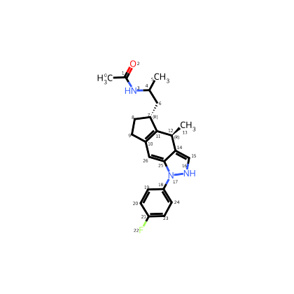 CC(=O)NC(C)C[C@H]1CCC2=C1[C@@H](C)C1=CNN(c3ccc(F)cc3)C1=C2